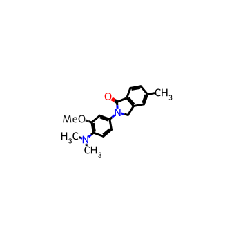 COc1cc(N2Cc3cc(C)ccc3C2=O)ccc1N(C)C